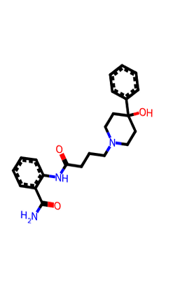 NC(=O)c1ccccc1NC(=O)CCCN1CCC(O)(c2ccccc2)CC1